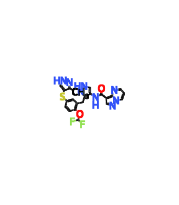 Cc1n[nH]cc1Sc1ccc(OC(F)F)c(Cc2n[nH]cc2NC(=O)c2cnn3cccnc23)c1